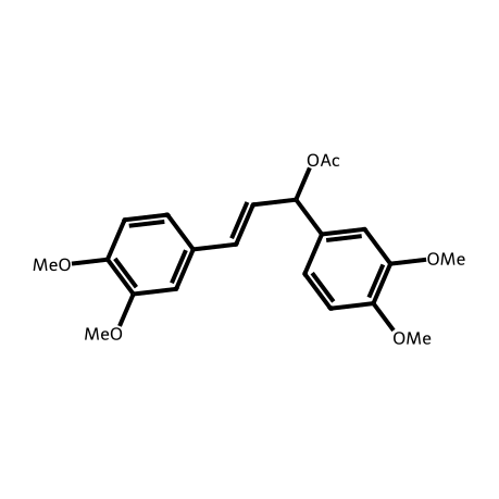 COc1ccc(/C=C/C(OC(C)=O)c2ccc(OC)c(OC)c2)cc1OC